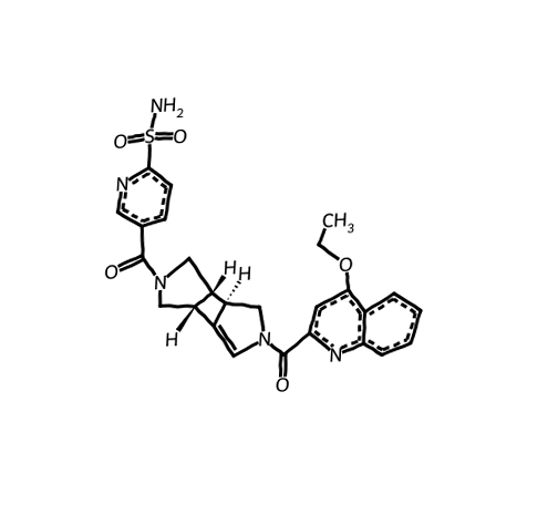 CCOc1cc(C(=O)N2C=C3[C@H](C2)[C@H]2CN(C(=O)c4ccc(S(N)(=O)=O)nc4)C[C@@H]32)nc2ccccc12